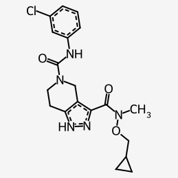 CN(OCC1CC1)C(=O)c1n[nH]c2c1CN(C(=O)Nc1cccc(Cl)c1)CC2